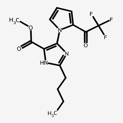 CCCCc1nc(-n2cccc2C(=O)C(F)(F)F)c(C(=O)OC)[nH]1